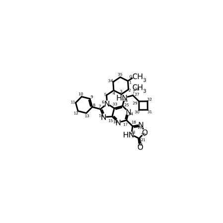 CC1CCC(Cn2c(C3=CCCCC3)nc3nc(-c4noc(=O)[nH]4)nc(N[C@H](C)C4CCC4)c32)CC1